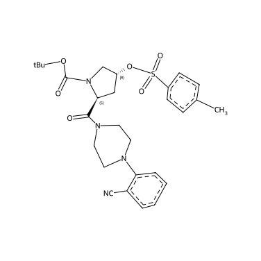 Cc1ccc(S(=O)(=O)O[C@@H]2C[C@@H](C(=O)N3CCN(c4ccccc4C#N)CC3)N(C(=O)OC(C)(C)C)C2)cc1